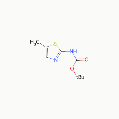 Cc1cnc(NC(=O)OC(C)(C)C)s1